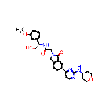 COc1cccc([C@@H](CO)NC(=O)CN2Cc3ccc(-c4ccnc(NC5CCOCC5)n4)cc3C2=O)c1